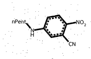 CCCCCNc1ccc([N+](=O)[O-])c(C#N)c1